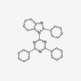 c1ccc(-c2nc(-c3ccccc3)nc(-n3c(-c4ccccc4)nc4ccccc43)n2)cc1